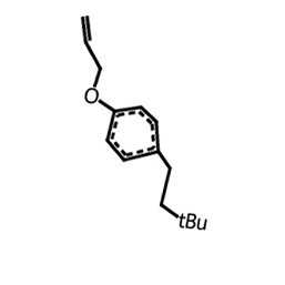 C=CCOc1ccc(CCC(C)(C)C)cc1